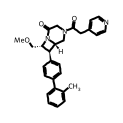 COC[C@H]1[C@H](c2ccc(-c3ccccc3C)cc2)[C@H]2CN(C(=O)Cc3ccncc3)CC(=O)N21